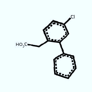 O=C(O)Cc1ccc(Cl)cc1-c1ccccc1